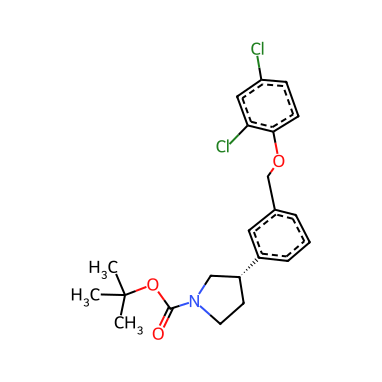 CC(C)(C)OC(=O)N1CC[C@@H](c2cccc(COc3ccc(Cl)cc3Cl)c2)C1